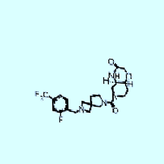 O=C1CO[C@H]2CCN(C(=O)N3CCC4(CN(Cc5ccc(C(F)(F)F)cc5F)C4)C3)C[C@H]2N1